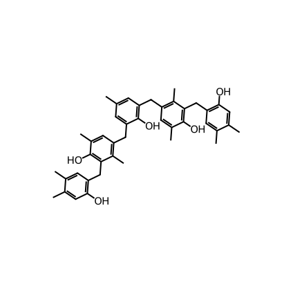 Cc1cc(Cc2cc(C)c(O)c(Cc3cc(C)c(C)cc3O)c2C)c(O)c(Cc2cc(C)c(O)c(Cc3cc(C)c(C)cc3O)c2C)c1